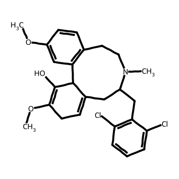 COC1=C(O)C2C(=CC1)CC(Cc1c(Cl)cccc1Cl)N(C)CCc1ccc(OC)cc12